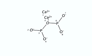 [Ca+2].[Ca+2].[O-]P([O-])OP([O-])[O-]